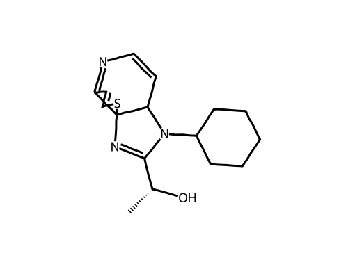 C[C@@H](O)C1=NC23SC=CC2=NC=CC3N1C1CCCCC1